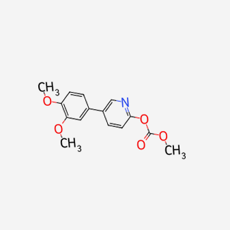 COC(=O)Oc1ccc(-c2ccc(OC)c(OC)c2)cn1